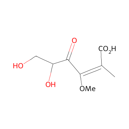 CO/C(C(=O)C(O)CO)=C(\C)C(=O)O